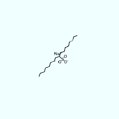 CCCCCCCCC(CCCCCCCC)S(=O)(=O)[O-].[Na+]